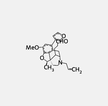 C=CCN1CC[C@@]23c4c(c(-c5ccoc5)cc(OC)c4O[C@@H]2C)CC1C3CCC=O